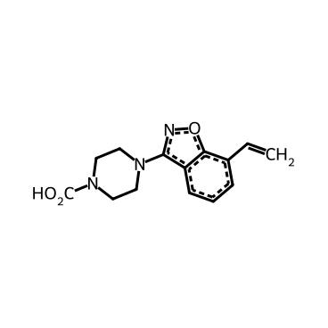 C=Cc1cccc2c(N3CCN(C(=O)O)CC3)noc12